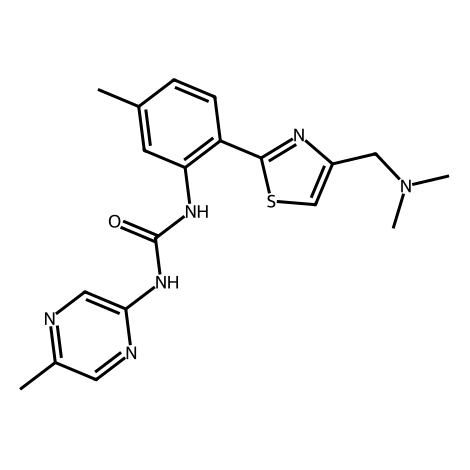 Cc1ccc(-c2nc(CN(C)C)cs2)c(NC(=O)Nc2cnc(C)cn2)c1